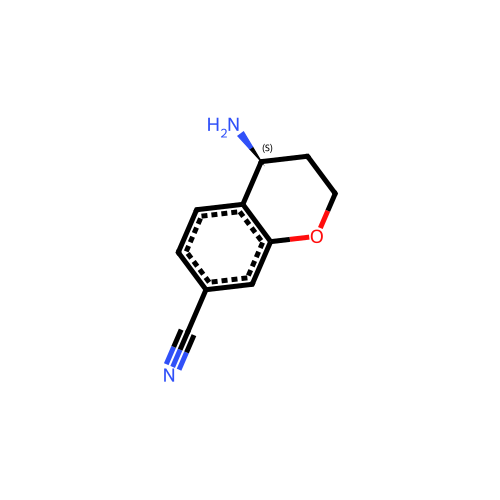 N#Cc1ccc2c(c1)OCC[C@@H]2N